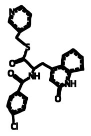 O=C(NC(Cc1cc(=O)[nH]c2ccccc12)C(=O)SCc1cccnc1)c1ccc(Cl)cc1